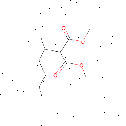 CCCCC(C)C(C(=O)OC)C(=O)OC